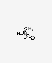 CS[C@H]1C[C@H](CC#N)N(C(=O)OCc2ccccc2)C1